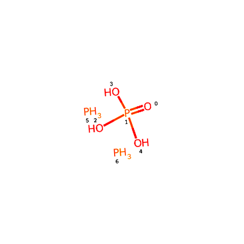 O=P(O)(O)O.P.P